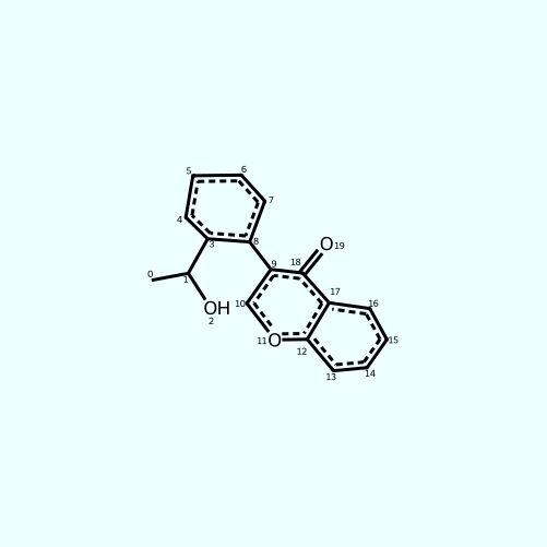 CC(O)c1ccccc1-c1coc2ccccc2c1=O